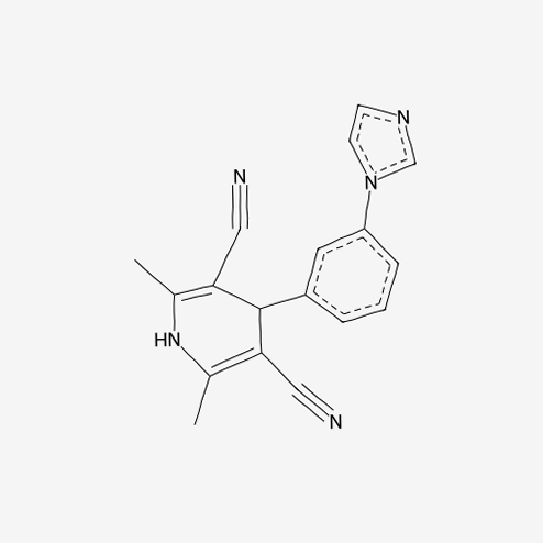 CC1=C(C#N)C(c2cccc(-n3ccnc3)c2)C(C#N)=C(C)N1